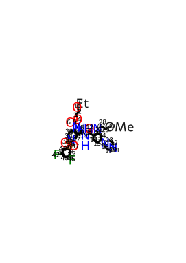 CCOCCOC(=O)n1nc(NC(=O)c2ccc(N3CCN(C)CC3)cc2N[C@H](C)COC)c2c1CCN(S(=O)(=O)c1cc(F)cc(F)c1)C2